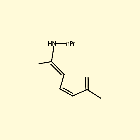 C=C(C)/C=C\C=C(/C)NCCC